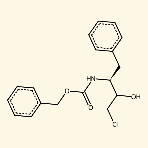 O=C(N[C@@H](Cc1ccccc1)C(O)CCl)OCc1ccccc1